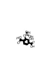 O=C(O)c1ccc(C(=O)O)c(OB(O)O)c1O